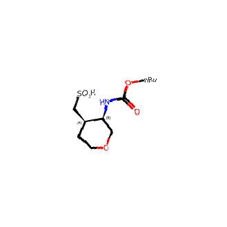 CCCCOC(=O)N[C@H]1COCC[C@H]1CS(=O)(=O)O